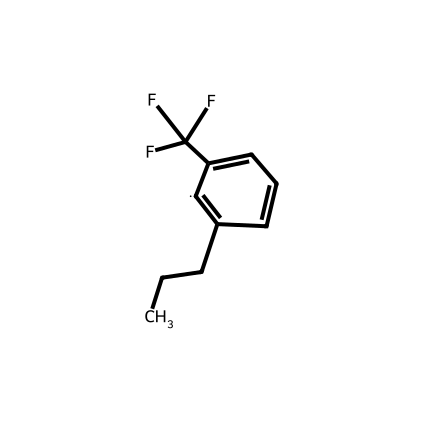 CCCc1[c]c(C(F)(F)F)ccc1